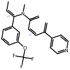 C=C(/C=C\C(=C)N(C)/C(=C\C)c1cccc(OC(F)(F)F)c1)c1ccncc1